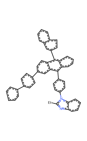 CCc1nc2ccccc2n1-c1ccc(-c2c3ccccc3c(-c3ccc4ccccc4c3)c3ccc(-c4ccc(-c5ccccc5)cc4)cc23)cc1